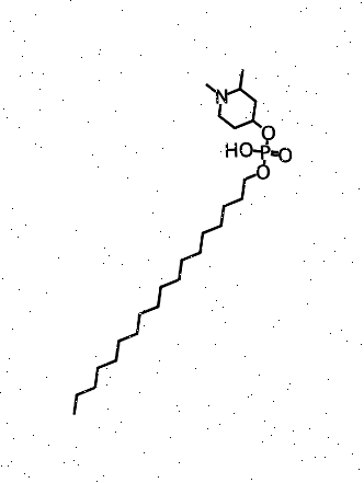 CCCCCCCCCCCCCCCCCCOP(=O)(O)OC1CCN(C)C(C)C1